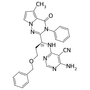 Cc1ccn2nc([C@H](CCOCc3ccccc3)Nc3ncnc(N)c3C#N)n(-c3ccccc3)c(=O)c12